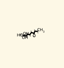 CCCC(=O)CCCCC(O)(O)O